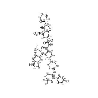 C[C@@H]1CN(c2cc(N3CCN(CC4=C(c5ccc(Cl)cc5)CC(C)(C)CC4)CC3)ccc2C(=O)NS(=O)(=O)c2cc3c(c([N+](=O)[O-])c2)N[C@@H]([C@H]2COCCO2)CO3)c2cc3cc[nH]c3nc2O1